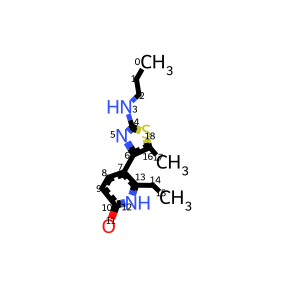 CCCNc1nc(-c2ccc(=O)[nH]c2CC)c(C)s1